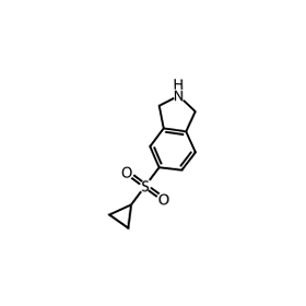 O=S(=O)(c1ccc2c(c1)CNC2)C1CC1